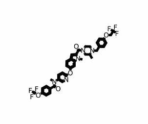 CC1CN(C(=O)c2cc3ccc(Oc4ccc(N(C)C(=O)c5ccc(OC(F)(F)F)cc5)cn4)cc3n2C)CCN1Cc1ccc(OCC(F)(F)F)cc1